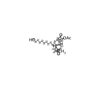 CC(=O)OC1C[C@H]2C(=CC1=O)C[C@@H](CCCCCCCCCO)[C@@H]1[C@@H]2CC[C@]2(C)C(=O)CC[C@@H]12